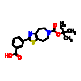 CC(C)(C)OC(=O)N1CCc2nc(-c3cccc(C(=O)O)c3)sc2CC1